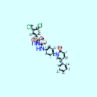 O=C(Nc1ccc(-n2cc(-c3ccccc3)ccc2=O)cc1)NS(=O)(=O)c1cc(Cl)c(Cl)s1